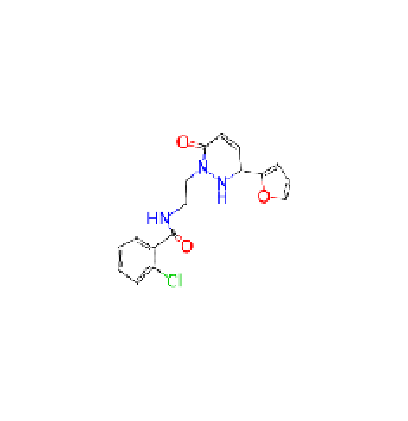 O=C(NCCN1NC(c2ccco2)C=CC1=O)c1ccccc1Cl